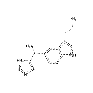 CC(c1ccc2[nH]cc(CCN)c2c1)c1nnn[nH]1